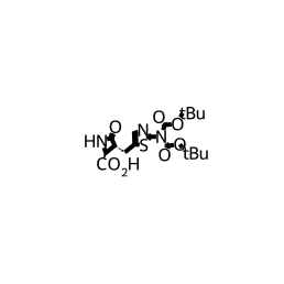 CC(C)(C)OC(=O)N(C(=O)OC(C)(C)C)c1ncc(C[C@H]2C(=O)N[C@H]2C(=O)O)s1